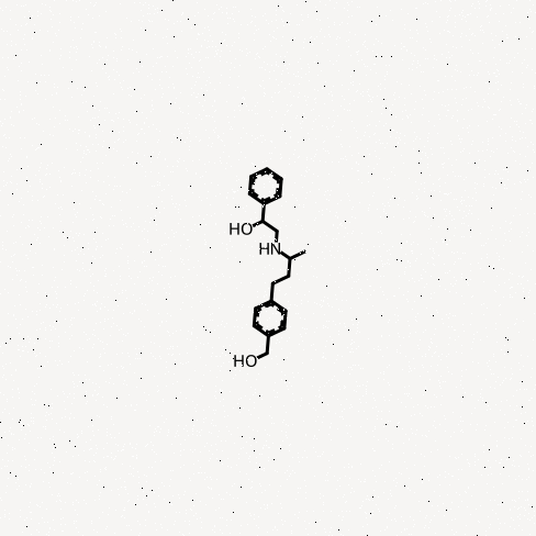 CC(CCc1ccc(CO)cc1)NCC(O)c1ccccc1